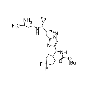 CC(C)(C)OC(=O)N[C@H](c1cn2ncc([C@H](NCCC(N)C(F)(F)F)C3CC3)cc2n1)C1CCC(F)(F)CC1